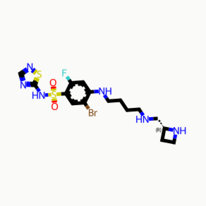 O=S(=O)(Nc1ncns1)c1cc(Br)c(NCCCCNC[C@H]2CCN2)cc1F